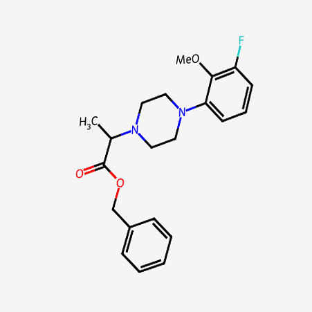 COc1c(F)cccc1N1CCN(C(C)C(=O)OCc2ccccc2)CC1